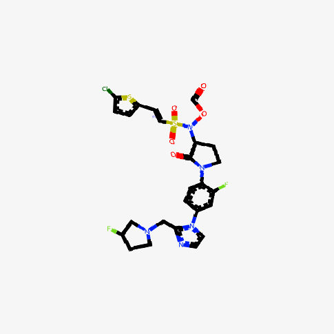 O=CON(C1CCN(c2ccc(-n3ccnc3CN3CCC(F)C3)cc2F)C1=O)S(=O)(=O)/C=C/c1ccc(Cl)s1